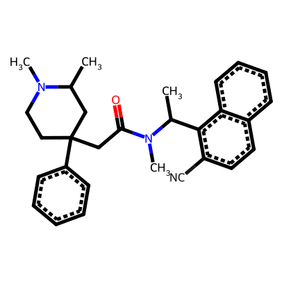 CC1CC(CC(=O)N(C)C(C)c2c(C#N)ccc3ccccc23)(c2ccccc2)CCN1C